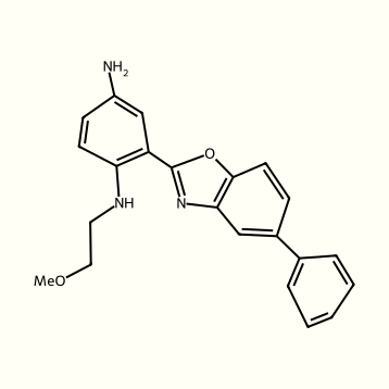 COCCNc1ccc(N)cc1-c1nc2cc(-c3ccccc3)ccc2o1